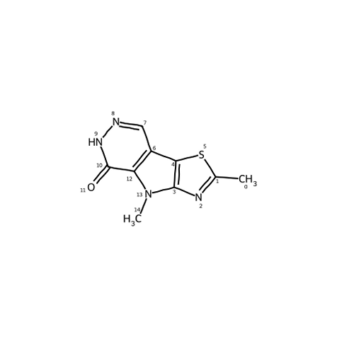 Cc1nc2c(s1)c1cn[nH]c(=O)c1n2C